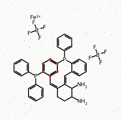 F[B-](F)(F)F.F[B-](F)(F)F.NC1CCC(=Cc2ccccc2P(c2ccccc2)c2ccccc2)C(=Cc2ccccc2P(c2ccccc2)c2ccccc2)C1N.[Fe+2]